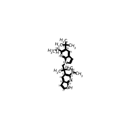 CNc1nc2c(ccn2CC(C)(C)c2cc3cc[nH]c3nc2N(C)C)cc1C(C)(C)C